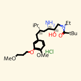 CCN(C[C@H](O)[C@@H](N)C[C@H](Cc1ccc(OC)c(OCCCOC)c1)C(C)C)C(=O)C(C)(C)C.Cl